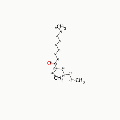 CCCCCCCCC(=O)C(CC)CCCCC